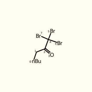 CCCCCC(=O)C(Br)(Br)Br